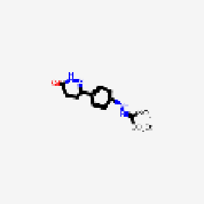 CCOC(=O)/C(=N/Nc1ccc(C2=NNC(=O)CC2)cc1)[N+](=O)[O-]